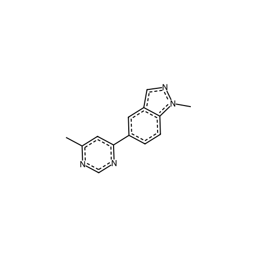 Cc1cc(-c2ccc3c(cnn3C)c2)ncn1